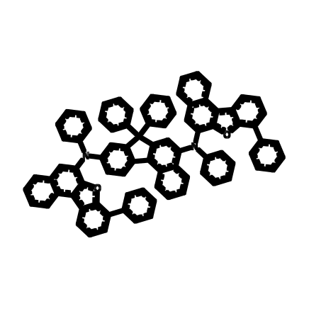 c1ccc(-c2cccc3c2oc2c(N(c4ccccc4)c4ccc5c(c4)C(c4ccccc4)(c4ccccc4)c4cc(N(c6ccccc6)c6cc7ccccc7c7c6oc6c(-c8ccccc8)cccc67)c6ccccc6c4-5)cc4ccccc4c23)cc1